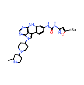 C[C@H]1CC(N2CCC(n3cc(-c4ccc(NC(=O)Nc5cc(C(C)(C)C)on5)cc4)c4c(N)ncnc43)CC2)CCN1